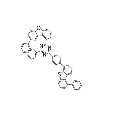 c1ccc(-c2ccc3oc4cccc(-c5nc(-c6ccccc6)nc(-c6ccc(-c7cccc8c7sc7cccc(-c9ccccc9)c78)cc6)n5)c4c3c2)cc1